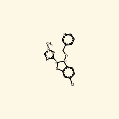 Cn1cnc([C@@H]2Sc3cc(Cl)ccc3[C@@H]2OCc2cccnc2)n1